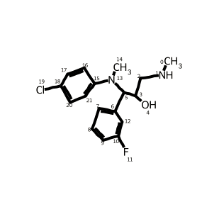 CNCC(O)C(c1cccc(F)c1)N(C)c1ccc(Cl)cc1